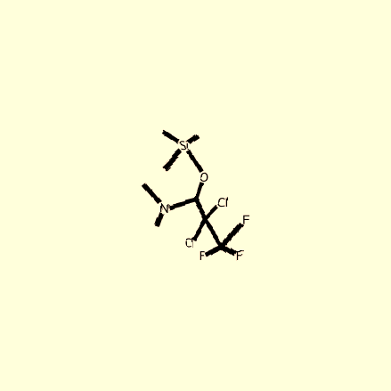 CN(C)C(O[Si](C)(C)C)C(Cl)(Cl)C(F)(F)F